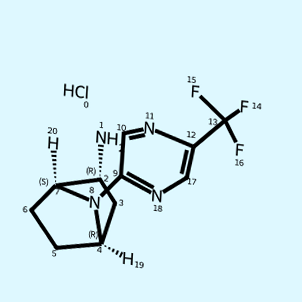 Cl.N[C@@H]1C[C@H]2CC[C@@H]1N2c1cnc(C(F)(F)F)cn1